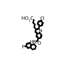 O=C(O)CCCCc1cc2cc(C(=O)NC3CCCc4cc(F)ccc43)ccc2nc1-c1ccc(Cl)cc1